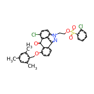 Cc1cc(C)c(COc2cccc3c2C(=O)c2c(Cl)ccc4c2c-3nn4CCOS(=O)(=O)c2ccccc2Cl)c(C)c1